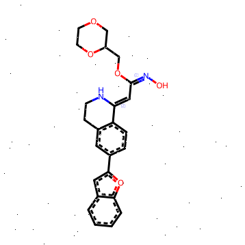 O/N=C(\C=C1/NCCc2cc(-c3cc4ccccc4o3)ccc21)OCC1COCCO1